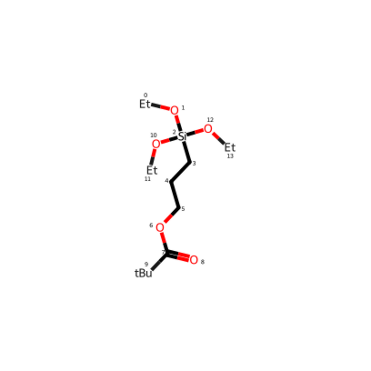 CCO[Si](CCCOC(=O)C(C)(C)C)(OCC)OCC